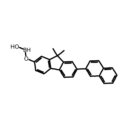 CC1(C)c2cc(OBO)ccc2-c2ccc(-c3ccc4ccccc4c3)cc21